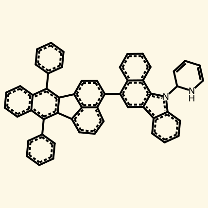 C1=CNC(n2c3ccccc3c3cc(-c4ccc5c6c(cccc46)-c4c-5c(-c5ccccc5)c5ccccc5c4-c4ccccc4)c4ccccc4c32)C=C1